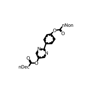 CCCCCCCCCCC(=O)Oc1cnc(-c2ccc(OC(=O)CCCCCCCCC)cc2)nc1